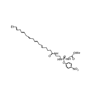 CCC=CCC=CCC=CCC=CCC=CCCCC(=O)NCCNP(=O)(NCC(=O)OC)Oc1ccc([N+](=O)[O-])cc1